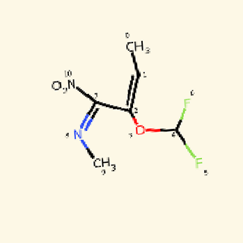 C/C=C(OC(F)F)\C(=N/C)[N+](=O)[O-]